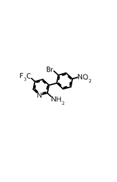 Nc1ncc(C(F)(F)F)cc1-c1ccc([N+](=O)[O-])cc1Br